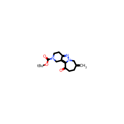 C=C1CCC(=O)c2c3c(nn2C1)CCN(C(=O)OC(C)(C)C)C3